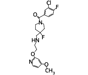 COc1ccnc(OCCNCC2(F)CCN(C(=O)c3ccc(F)c(Cl)c3)CC2)c1